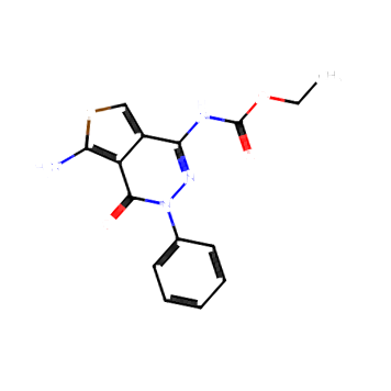 CCOC(=O)Nc1nn(-c2ccccc2)c(=O)c2c(N)scc12